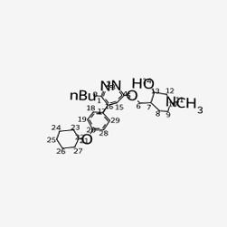 CCCCc1nnc(OCC2CCN(C)CC2O)cc1-c1ccc(OC2CCCCC2)cc1